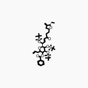 C=CCC1O[C@@H](C(/C=C/C(=O)CCC2CC(=C)[C@H](CC)O2)O[Si](C)(C)C(C)(C)C)C(O[Si](C)(C)C(C)(C)C)C(O[Si](C)(C)C(C)(C)C)C1OC(=O)c1ccccc1